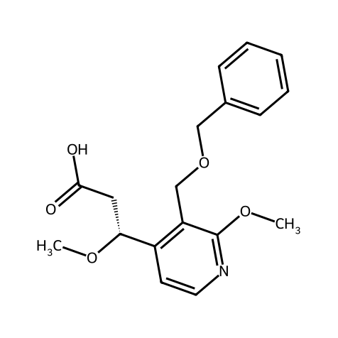 COc1nccc([C@@H](CC(=O)O)OC)c1COCc1ccccc1